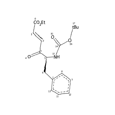 CCOC(=O)C=CC(=O)[C@H](Cc1ccccc1)NC(=O)OC(C)(C)C